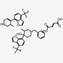 CC1CN(Cc2ccccc2)CCC1(O)c1ccc(C(F)(F)F)c2ccoc12.CC1CNCC=C1c1ccc(C(F)(F)F)c2ccoc12.O=C(O)C=CC(=O)O